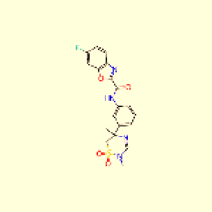 CN1C=NC(C)(c2cccc(NC(=O)c3nc4ccc(F)cc4o3)c2)CS1(=O)=O